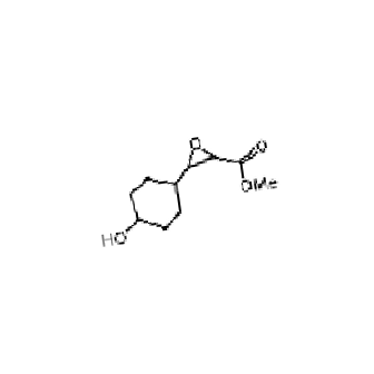 COC(=O)C1OC1C1CCC(O)CC1